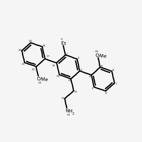 CCc1cc(-c2ccccc2OC)c(CCN)cc1-c1ccccc1OC